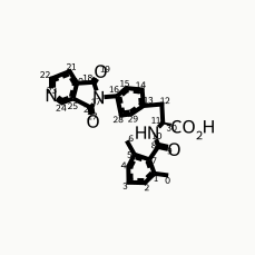 Cc1cccc(C)c1C(=O)N[C@@H](Cc1ccc(N2C(=O)c3ccncc3C2=O)cc1)C(=O)O